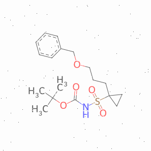 CC(C)(C)OC(=O)NS(=O)(=O)C1(CCCOCc2ccccc2)CC1